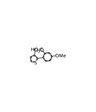 COc1ccc(-c2sccc2C=O)c(C(=O)O)c1